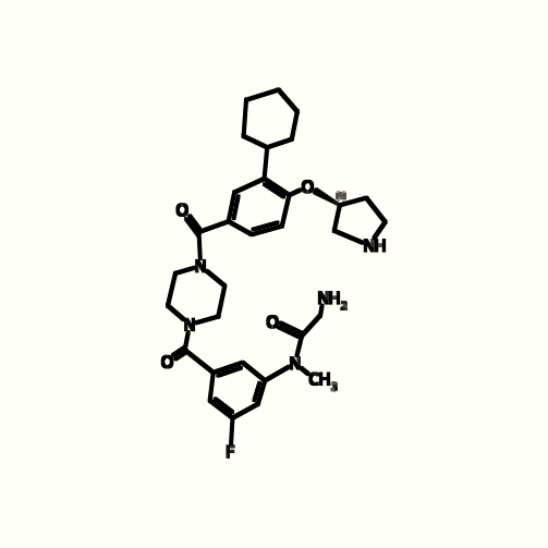 CN(C(=O)CN)c1cc(F)cc(C(=O)N2CCN(C(=O)c3ccc(O[C@H]4CCNC4)c(C4CCCCC4)c3)CC2)c1